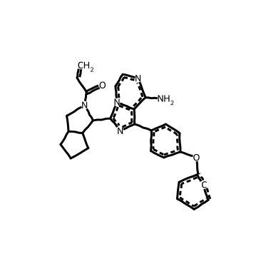 C=CC(=O)N1CC2CCCC2C1c1nc(-c2ccc(Oc3ccccc3)cc2)c2c(N)nccn12